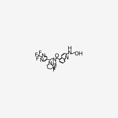 O=C(NCC(c1cnc(C(F)(F)F)nc1)N1CCCC(F)(F)C1)c1cccc2nc(NCCO)ccc12